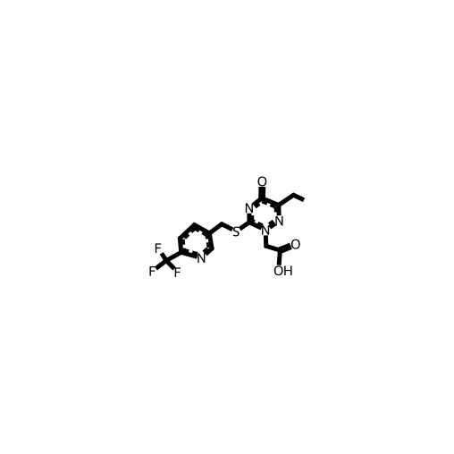 CCc1nn(CC(=O)O)c(SCc2ccc(C(F)(F)F)nc2)nc1=O